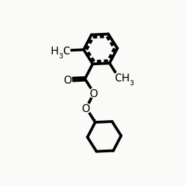 Cc1cccc(C)c1C(=O)OO[C]1CCCCC1